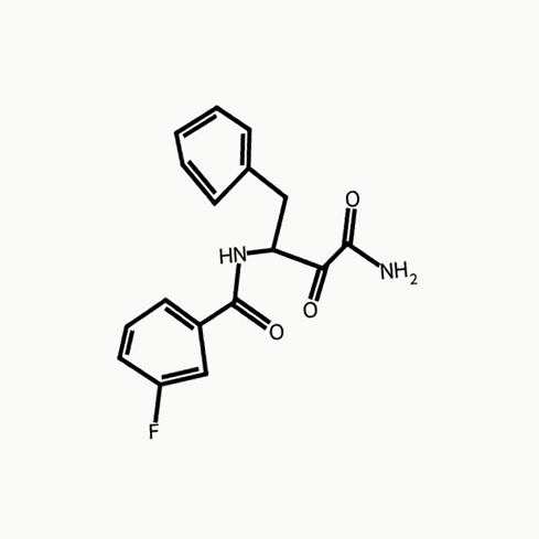 NC(=O)C(=O)C(Cc1ccccc1)NC(=O)c1cccc(F)c1